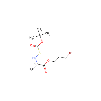 C[C@H](NSC(=O)OC(C)(C)C)C(=O)OCCCBr